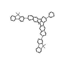 CC1(C)c2ccccc2-c2ccc(-c3ccc4cc5c6cc(-c7ccccc7)cc7c8cc9ccc(-c%10ccc%11c(c%10)C(C)(C)c%10ccccc%10-%11)cc9cc8n(c5cc4c3)c67)cc21